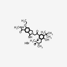 Br.CCOc1cc2c(cc1C(=O)NC)C(=N)N(CC(=O)c1cc(CN(C)S(C)(=O)=O)c(O)c(C(C)(C)C)c1)C2